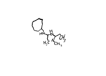 CCC([N]C)NC(CC)NCC1CCCCCCC1